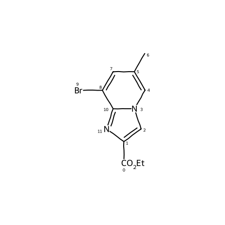 CCOC(=O)c1cn2cc(C)cc(Br)c2n1